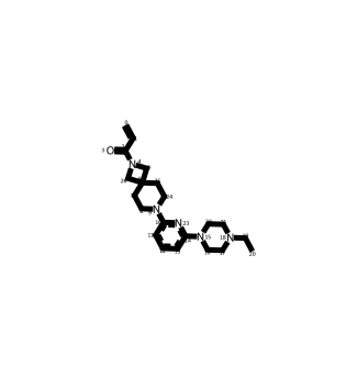 C=CC(=O)N1CC2(CCN(c3cccc(N4CCN(CC)CC4)n3)CC2)C1